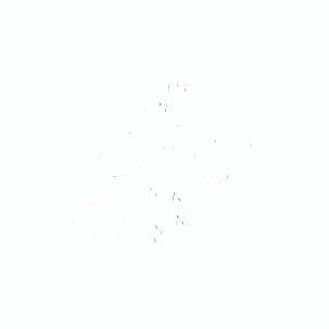 CCCN(Cc1ccc(-c2ccccc2-c2nnn[nH]2)cc1)C(=O)CC1(CC(=O)O)CCCC1